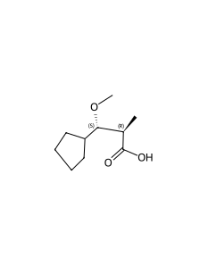 CO[C@@H](C1CCCC1)[C@@H](C)C(=O)O